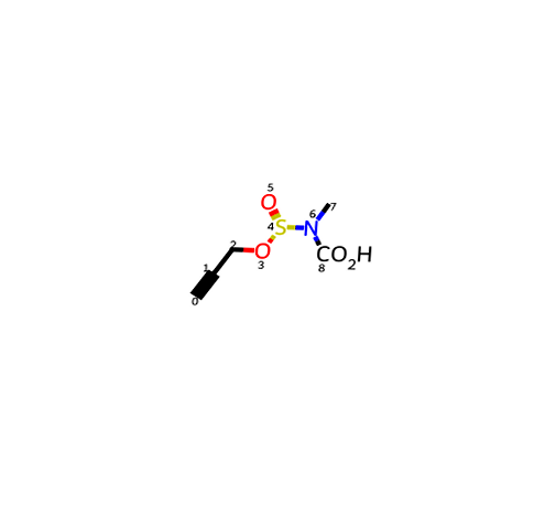 C#CCOS(=O)N(C)C(=O)O